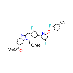 COCCn1c(Cc2ccc(-c3cc(F)cc(OCc4ccc(C#N)cc4F)n3)cc2F)nc2ccc(C(=O)OC)cc21